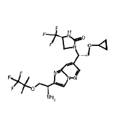 CC(C)(OC[C@H](N)c1cn2ncc([C@@H](COC3CC3)N3C[C@@H](C(F)(F)F)NC3=O)cc2n1)C(F)(F)F